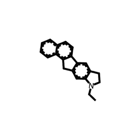 CCN1CCc2cc3c(cc21)Cc1c-3ccc2ccccc12